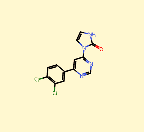 O=c1[nH]ccn1-c1cc(-c2ccc(Cl)c(Cl)c2)ncn1